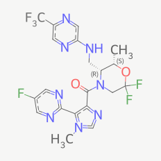 C[C@@H]1OC(F)(F)CN(C(=O)c2ncn(C)c2-c2ncc(F)cn2)[C@@H]1CNc1cnc(C(F)(F)F)cn1